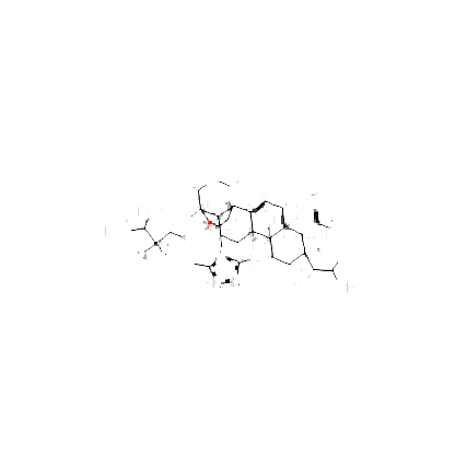 CC(C)[C@@H](C)[C@@]1(C)CC[C@]2(C)[C@H]3CC[C@@H]4[C@@]5(COC[C@@]4(C)[C@@H](OC[C@](C)(N)C(C)C)[C@H](n4c(Br)nnc4Br)C5)C3=CC[C@@]2(C)[C@@H]1C(=O)O